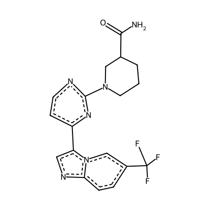 NC(=O)C1CCCN(c2nccc(-c3cnc4ccc(C(F)(F)F)cn34)n2)C1